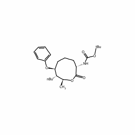 CCCC[C@H]1[C@H](C)OC(=O)[C@@H](NC(=O)OC(C)(C)C)CCC[C@@H]1Oc1ccccc1